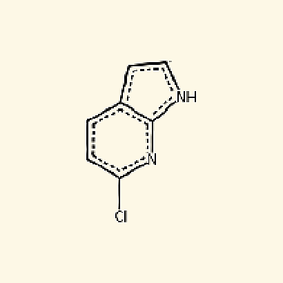 Clc1ccc2c[c][nH]c2n1